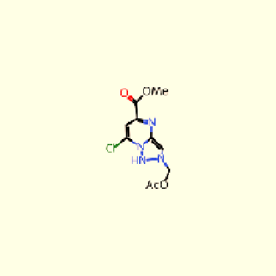 COC(=O)C1=NC2=CN(COC(C)=O)NN2C(Cl)=C1